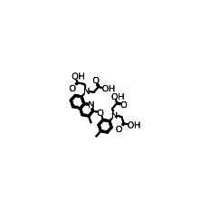 Cc1ccc(N(CC(=O)O)CC(=O)O)c(Oc2nc3c(N(CC(=O)O)CC(=O)O)cccc3cc2C)c1